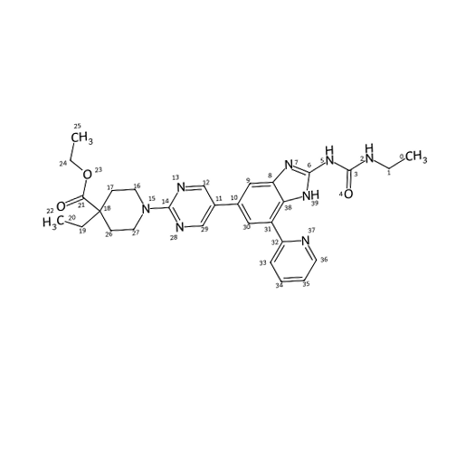 CCNC(=O)Nc1nc2cc(-c3cnc(N4CCC(CC)(C(=O)OCC)CC4)nc3)cc(-c3ccccn3)c2[nH]1